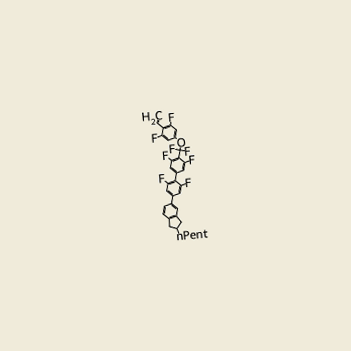 C=Cc1c(F)cc(OC(F)(F)c2c(F)cc(-c3c(F)cc(-c4ccc5c(c4)CC(CCCCC)C5)cc3F)cc2F)cc1F